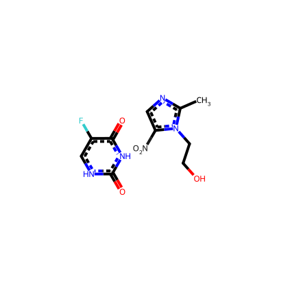 Cc1ncc([N+](=O)[O-])n1CCO.O=c1[nH]cc(F)c(=O)[nH]1